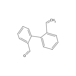 C=Cc1ccccc1-c1ccccc1C=O